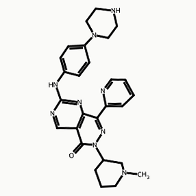 CN1CCCC(n2nc(-c3ccccn3)c3nc(Nc4ccc(N5CCNCC5)cc4)ncc3c2=O)C1